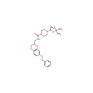 CC(C)(C)OC(=O)N1CCC(C(=O)NCC2COc3ccc(OCc4ccccc4)cc3O2)CC1